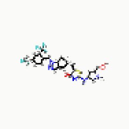 COCC1CC(N(C)C2=NC(=O)C(=Cc3ccc4c(cnn4Cc4ccc(C(F)(F)F)cc4C(F)(F)F)c3)S2)CN1C